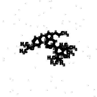 CCC[C@@H]1C[C@H](Cc2ccc(OC(C)C)cc2)/C(=N/Br)N1CC(=O)c1cc(C(C)(C)C)c(O)c(C(C)(C)C)c1